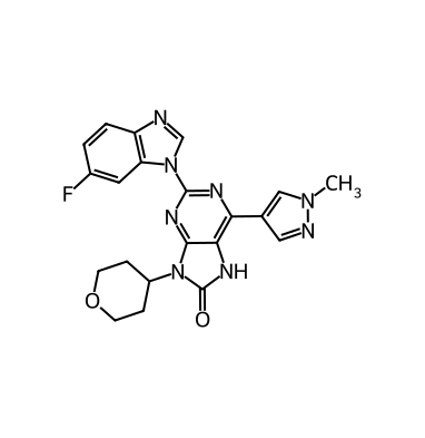 Cn1cc(-c2nc(-n3cnc4ccc(F)cc43)nc3c2[nH]c(=O)n3C2CCOCC2)cn1